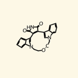 O=C1NC(=O)C2=C1c1cn(c3ccccc13)CCOCCn1cc2c2ccccc21